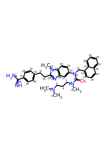 CN(C)CCCN(C)C(=O)N(Cc1cccc2ccccc12)c1ccc2c(c1)nc(CCc1ccc(C(=N)N)cc1)n2C